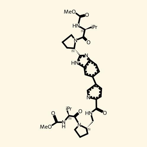 COC(=O)N[C@H](C(=O)N1CCC[C@H]1CNC(=O)c1ccc(-c2ccc3nc([C@@H]4CCCN4C(=O)[C@@H](NC(=O)OC)C(C)C)[nH]c3c2)cn1)C(C)C